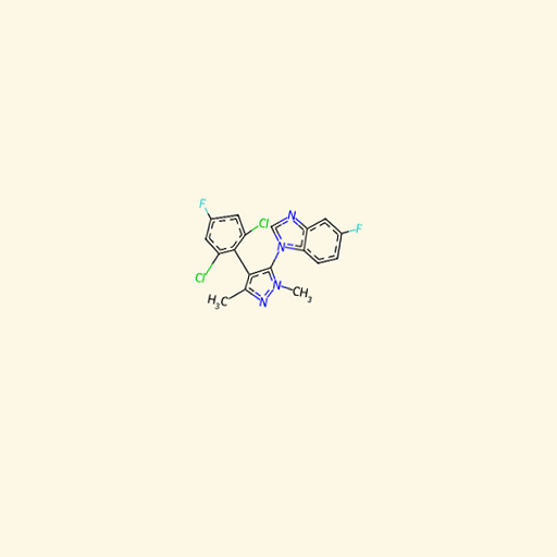 Cc1nn(C)c(-n2cnc3cc(F)ccc32)c1-c1c(Cl)cc(F)cc1Cl